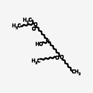 CCCCCCCCOC(CCCCCCCN(CCO)CCCCCCCC(=O)OC(CC)CCCCCC)OCCCCCCCC